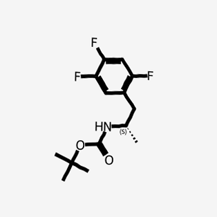 C[C@@H](Cc1cc(F)c(F)cc1F)NC(=O)OC(C)(C)C